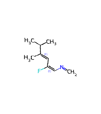 C=N/C=C(F)\C=C(/C)C(C)C